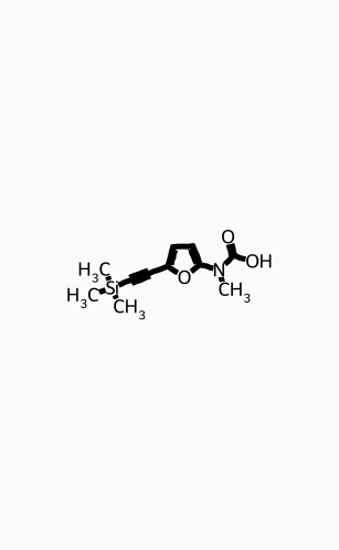 CN(C(=O)O)c1ccc(C#C[Si](C)(C)C)o1